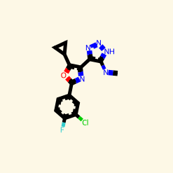 C=Nc1[nH]nnc1-c1nc(-c2ccc(F)c(Cl)c2)oc1C1CC1